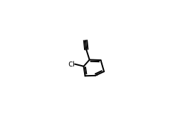 C#Cc1cc[c]cc1Cl